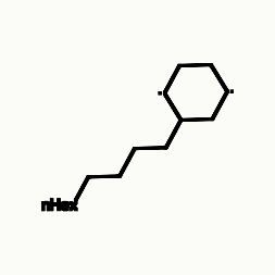 CCCCCCCCCCC1[CH]CC[CH]C1